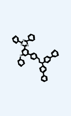 c1ccc(Sc2cc(-c3ccc(CCC(c4ccc(-c5ccccc5)cc4)c4ccc(-c5ccccc5)cc4)cc3)cc(-c3nc(-c4ccccc4)nc(-c4ccccc4)n3)c2)cc1